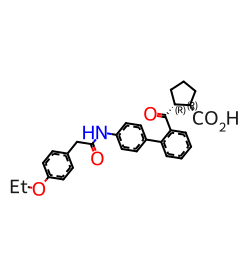 CCOc1ccc(CC(=O)Nc2ccc(-c3ccccc3C(=O)[C@@H]3CCC[C@H]3C(=O)O)cc2)cc1